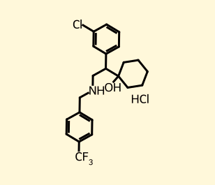 Cl.OC1(C(CNCc2ccc(C(F)(F)F)cc2)c2cccc(Cl)c2)CCCCC1